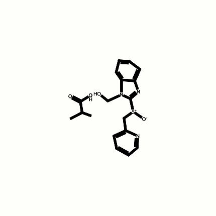 CC(C)C(=O)O.[O-][S+](Cc1ccccn1)c1nc2ccccc2n1CO